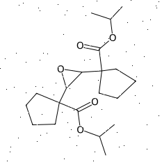 CC(C)OC(=O)C1(C2OC2C2(C(=O)OC(C)C)CCCC2)CCCC1